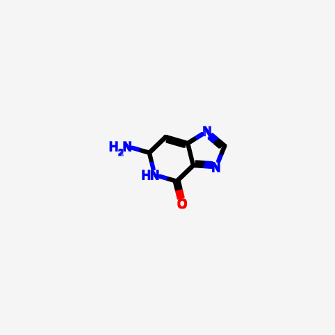 NC1C=C2N=CN=C2C(=O)N1